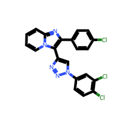 Clc1ccc(-c2nc3ccccn3c2-c2cn(-c3ccc(Cl)c(Cl)c3)nn2)cc1